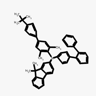 Cc1cc(-c2ccc(C(C)(C)C)cc2)cc(C)c1N(c1ccc(-c2ccccc2-c2ccccc2)cc1)c1ccc2c(c1)C(C)(C)c1ccccc1-2